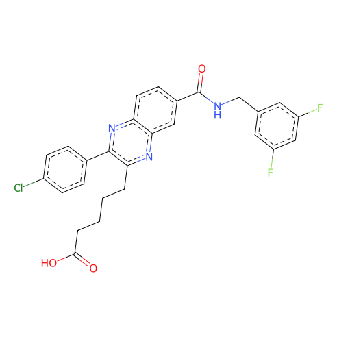 O=C(O)CCCCc1nc2cc(C(=O)NCc3cc(F)cc(F)c3)ccc2nc1-c1ccc(Cl)cc1